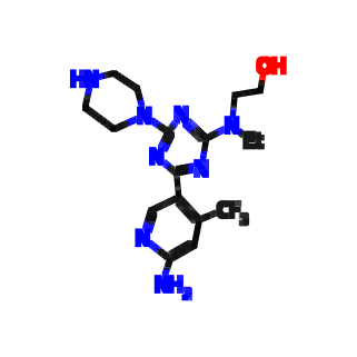 CCN(CCO)c1nc(-c2cnc(N)cc2C(F)(F)F)nc(N2CCNCC2)n1